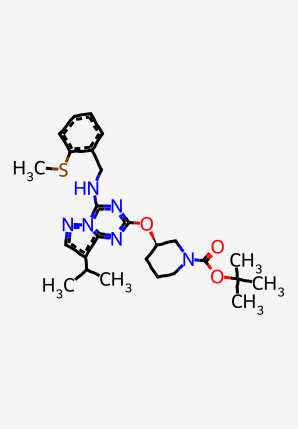 CSc1ccccc1CNc1nc(O[C@@H]2CCCN(C(=O)OC(C)(C)C)C2)nc2c(C(C)C)cnn12